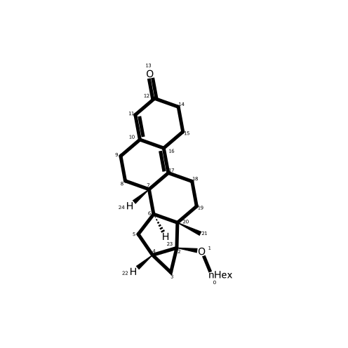 CCCCCCO[C@@]12C[C@@H]1C[C@H]1[C@@H]3CCC4=CC(=O)CCC4=C3CC[C@@]12C